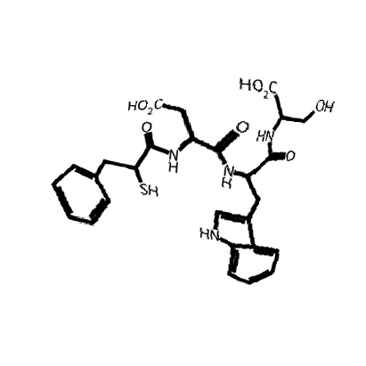 O=C(O)CC(NC(=O)C(S)Cc1ccccc1)C(=O)NC(Cc1c[nH]c2ccccc12)C(=O)NC(CO)C(=O)O